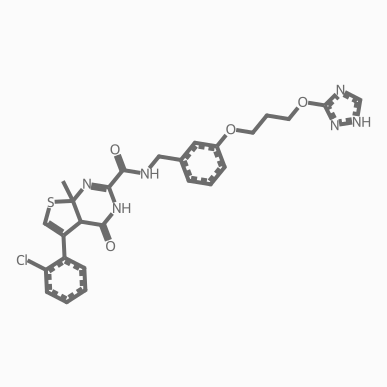 CC12N=C(C(=O)NCc3cccc(OCCCOc4nc[nH]n4)c3)NC(=O)C1C(c1ccccc1Cl)=CS2